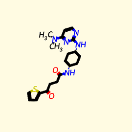 CN(C)c1ccnc(N[C@H]2CC[C@@H](NC(=O)CCC(=O)c3cccs3)CC2)n1